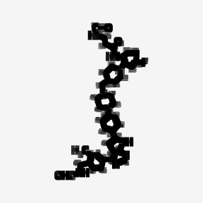 Cc1cc(-c2ncnc3[nH]c(-c4ccc(N5CCN(CC6CCN(c7cc(F)ccc7NC(=O)CCNC=O)CC6)CC5)cc4)cc23)ccc1CNC=O